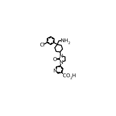 NCC1(c2cccc(Cl)c2)CCC(N2CCN(c3cncc(C(=O)O)c3)C2=O)CC1